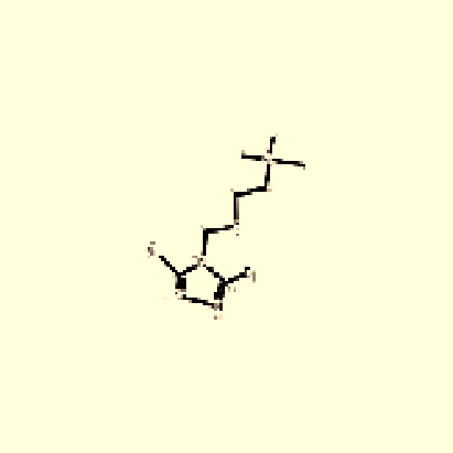 C[Si](C)(C)CCOCn1c(Br)nnc1Br